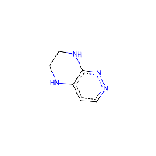 c1cc2c(nn1)NCCN2